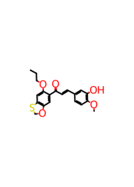 CCCOc1cc2c(cc1C(=O)C=Cc1ccc(OC)c(O)c1)OCS2